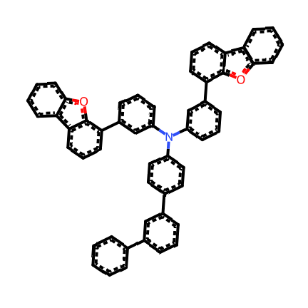 c1ccc(-c2cccc(-c3ccc(N(c4cccc(-c5cccc6c5oc5ccccc56)c4)c4cccc(-c5cccc6c5oc5ccccc56)c4)cc3)c2)cc1